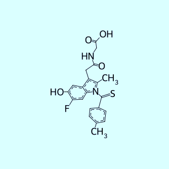 Cc1ccc(C(=S)n2c(C)c(CC(=O)NCC(=O)O)c3cc(O)c(F)cc32)cc1